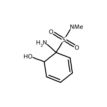 CNS(=O)(=O)C1(N)C=CC=CC1O